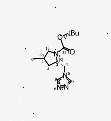 C[C@@H]1C[C@@H](Cn2cnnc2)N(C(=O)OC(C)(C)C)C1